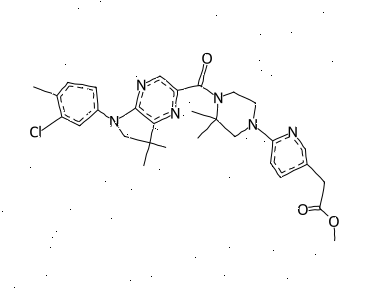 COC(=O)Cc1ccc(N2CCN(C(=O)c3cnc4c(n3)C(C)(C)CN4c3ccc(C)c(Cl)c3)C(C)(C)C2)nc1